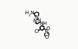 NC1CCCN(c2nccc(Nc3cc(Cl)cc(C(=O)N4CCOCC4)c3)n2)C1